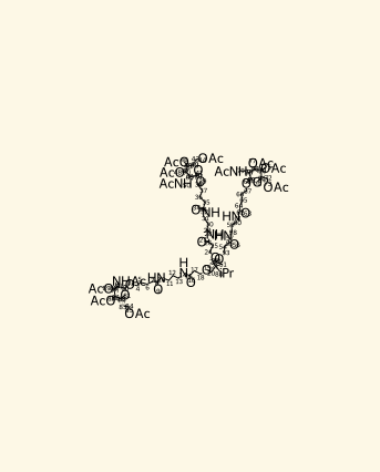 CC(=O)N[C@H]1[C@H](OCCCCC(=O)NCCCNC(=O)CCOCC(COCCC(=O)NCCCNC(=O)CCCCO[C@@H]2O[C@H](COC(C)=O)[C@H](OC(C)=O)[C@H](OC(C)=O)[C@H]2NC(C)=O)(COCCC(=O)NCCCNC(=O)CCCCO[C@@H]2O[C@H](COC(C)=O)[C@H](OC(C)=O)[C@H](OC(C)=O)[C@H]2NC(C)=O)C(C)C)O[C@H](CCOC(C)=O)[C@H](OC(C)=O)[C@@H]1OC(C)=O